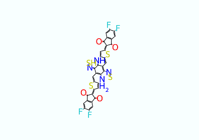 N=C1C(/C=c2\ccc(=C3C(=O)c4cc(F)c(F)cc4C3=O)s2)=C(N=S)C(N)=C(/C=c2\ccc(=C3C(=O)c4cc(F)c(F)cc4C3=O)s2)/C1=N/S